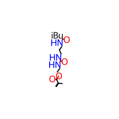 C=C(C)C(=O)OCCNC(=O)NCCCNC(=O)C(C)CC